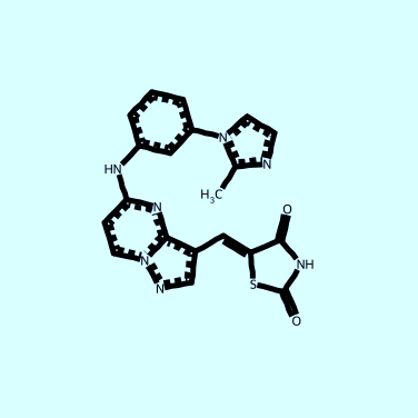 Cc1nccn1-c1cccc(Nc2ccn3ncc(/C=C4\SC(=O)NC4=O)c3n2)c1